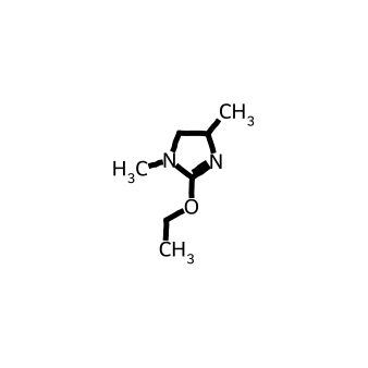 CCOC1=NC(C)CN1C